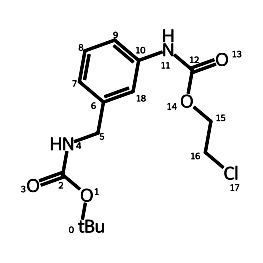 CC(C)(C)OC(=O)NCc1cccc(NC(=O)OCCCl)c1